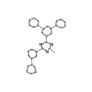 Cc1nc(-c2cccc(-c3ccccc3)c2)nc(-c2cc(-c3ccccc3)cc(-c3ccccc3)c2)n1